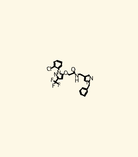 O=C(COc1cc(C(F)(F)F)nn1-c1ccccc1Cl)NCc1cnn(Cc2ccccc2)c1